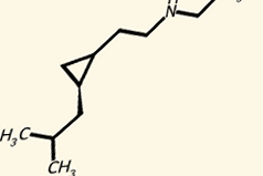 CCNCCC1C[C@@H]1CC(C)C